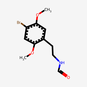 COc1cc(CCNC=O)c(OC)cc1Br